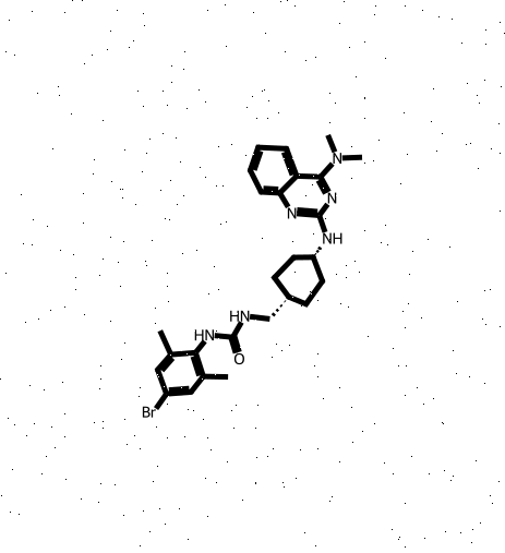 Cc1cc(Br)cc(C)c1NC(=O)NC[C@H]1CC[C@@H](Nc2nc(N(C)C)c3ccccc3n2)CC1